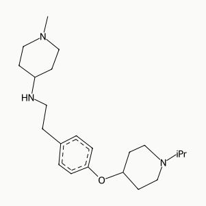 CC(C)N1CCC(Oc2ccc(CCNC3CCN(C)CC3)cc2)CC1